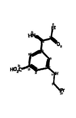 CCC(=O)C(=N)c1cc(NCC(C)C)cc(C(=O)O)c1